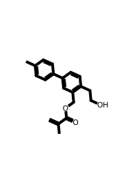 C=C(C)C(=O)OCc1cc(-c2ccc(C)cc2)ccc1CCO